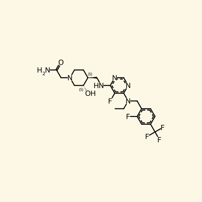 CCN(Cc1ccc(C(F)(F)F)cc1F)c1ncnc(NC[C@@H]2CCN(CC(N)=O)C[C@H]2O)c1F